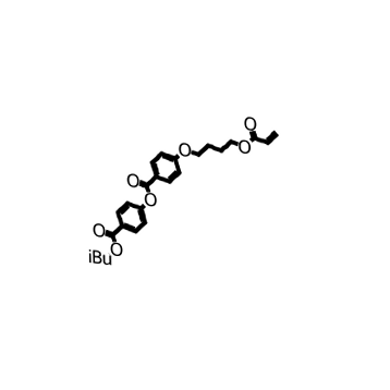 C=CC(=O)OCCCCOc1ccc(C(=O)Oc2ccc(C(=O)OC(C)CC)cc2)cc1